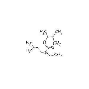 CCN(CCC(C)C)S(=O)OC(C)C(C)C